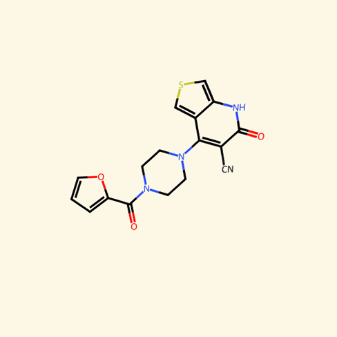 N#Cc1c(N2CCN(C(=O)c3ccco3)CC2)c2cscc2[nH]c1=O